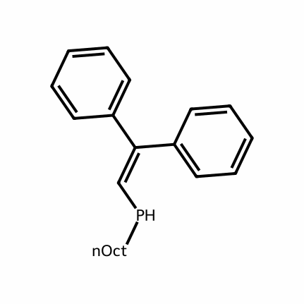 CCCCCCCCPC=C(c1ccccc1)c1ccccc1